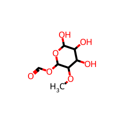 COC1C(OC=O)OC(O)C(O)C1O